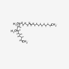 [CH2]CCCCCCCCCCC=CCCCCC(C)CCC(C)CCCCCC[CH2]